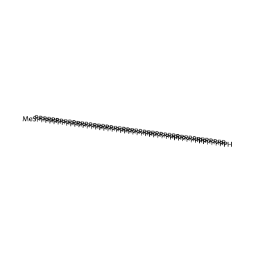 CSP=PP=PP=PP=PP=PP=PP=PP=PP=PP=PP=PP=PP=PP=PP=PP=PP=PP=PP=PP=PP=PP=PP=PP=PP=PP=PP=PP=PP=PP=PP=PP=PP=PP=PP=PP=PP=PP=PP=PP=PP=PP=PP=PP=PP=PP=P